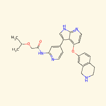 CC(C)OCC(=O)Nc1cc(-c2c[nH]c3nccc(Oc4ccc5c(c4)CNCC5)c23)ccn1